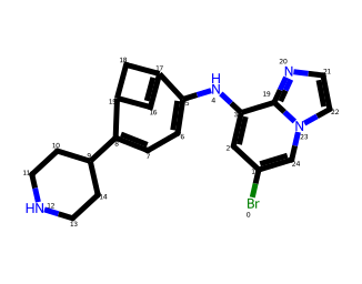 Brc1cc(NC2=CC=C(C3CCNCC3)C3C=C2C3)c2nccn2c1